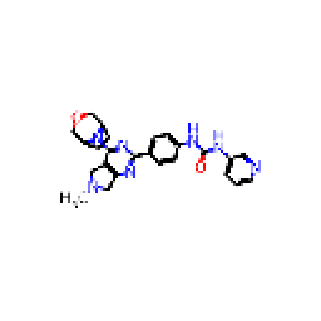 CN1Cc2nc(-c3ccc(NC(=O)Nc4cccnc4)cc3)nc(N3C4CCC3COC4)c2C1